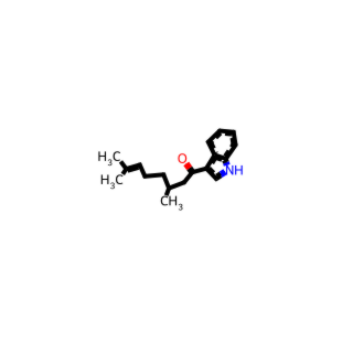 CC(C)=CCCC(C)CC(=O)c1c[nH]c2ccccc12